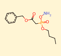 CCCCOP(=O)(CC(=O)OCc1ccccc1)ON